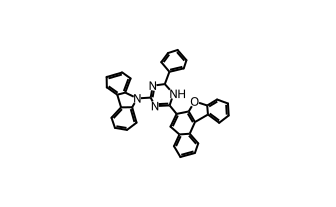 c1ccc(C2N=C(n3c4ccccc4c4ccccc43)N=C(c3cc4ccccc4c4c3oc3ccccc34)N2)cc1